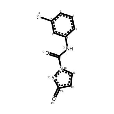 O=C(Nc1cccc(Cl)c1)n1ccc(=O)s1